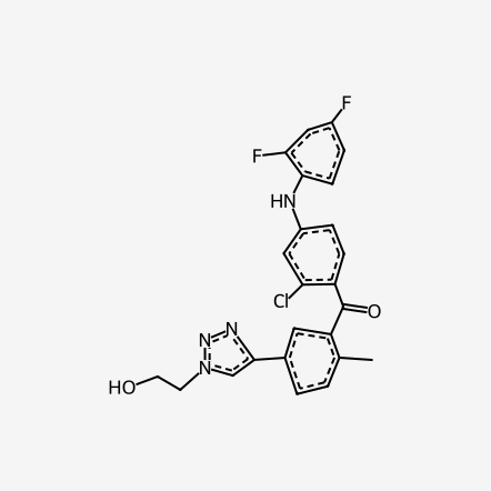 Cc1ccc(-c2cn(CCO)nn2)cc1C(=O)c1ccc(Nc2ccc(F)cc2F)cc1Cl